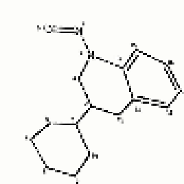 O=NN1CC(C2CCCCC2)Cc2ccccc21